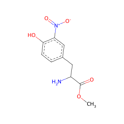 COC(=O)C(N)Cc1ccc(O)c([N+](=O)[O-])c1